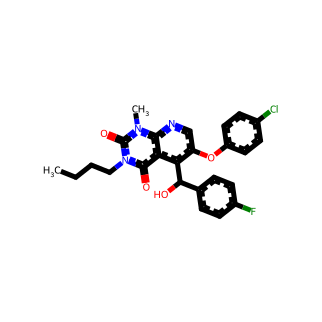 CCCCn1c(=O)c2c(C(O)c3ccc(F)cc3)c(Oc3ccc(Cl)cc3)cnc2n(C)c1=O